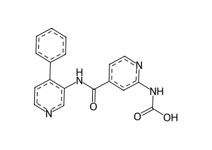 O=C(O)Nc1cc(C(=O)Nc2cnccc2-c2ccccc2)ccn1